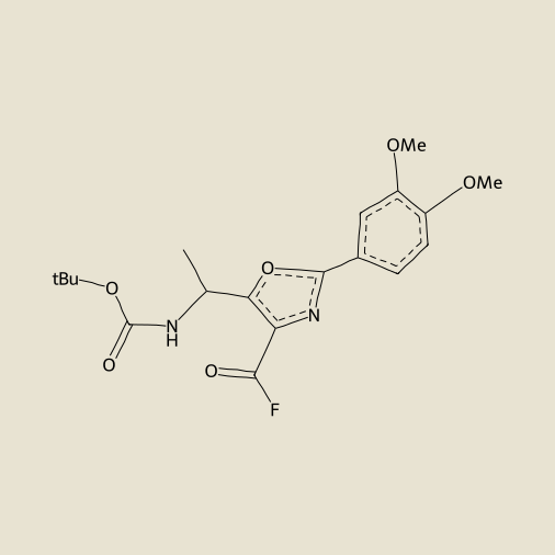 COc1ccc(-c2nc(C(=O)F)c(C(C)NC(=O)OC(C)(C)C)o2)cc1OC